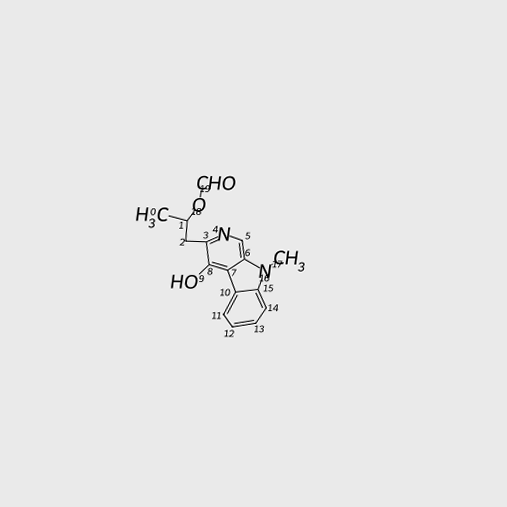 CC(Cc1ncc2c(c1O)c1ccccc1n2C)OC=O